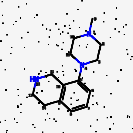 CN1CCN(c2cccc3c2CNCC3)CC1